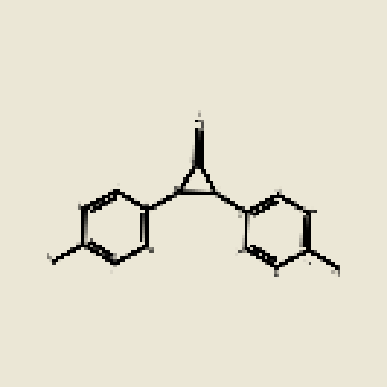 Cc1ccc(C2C(=O)C2c2ccc(C)cc2)cc1